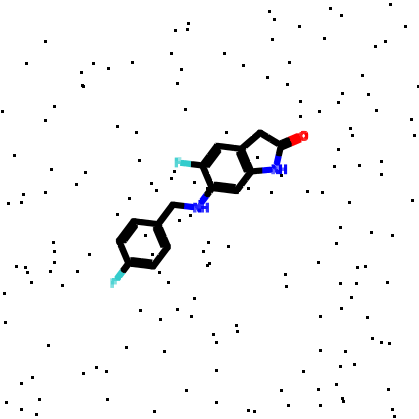 O=C1Cc2cc(F)c(NCc3ccc(F)cc3)cc2N1